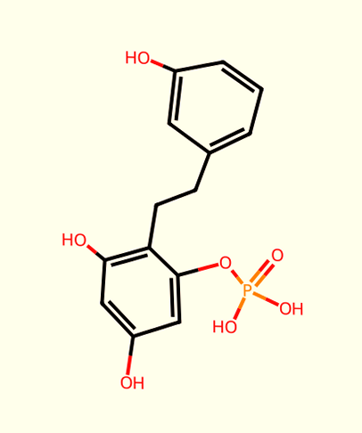 O=P(O)(O)Oc1cc(O)cc(O)c1CCc1cccc(O)c1